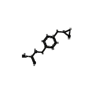 CCC(C)C(=O)OCc1ccc(CC2CO2)cc1